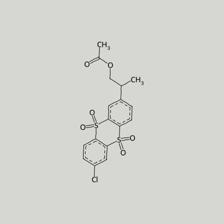 CC(=O)OCC(C)c1ccc2c(c1)S(=O)(=O)c1ccc(Cl)cc1S2(=O)=O